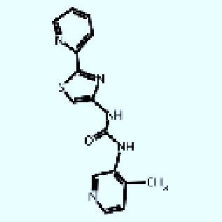 Cc1ccncc1NC(=O)Nc1csc(-c2ccccn2)n1